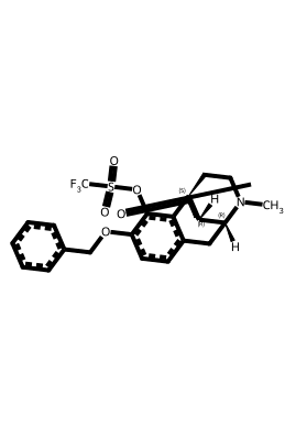 CN1CC[C@]23CC(=O)CC[C@H]2[C@H]1Cc1ccc(OCc2ccccc2)c(OS(=O)(=O)C(F)(F)F)c13